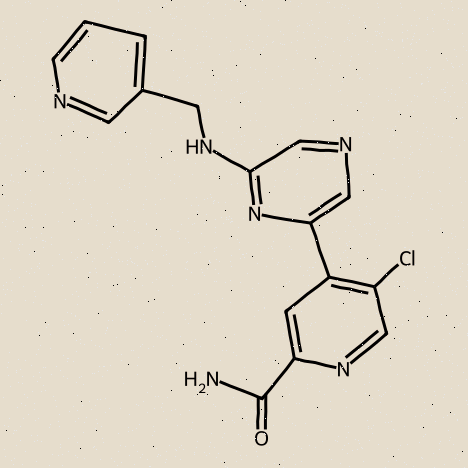 NC(=O)c1cc(-c2cncc(NCc3cccnc3)n2)c(Cl)cn1